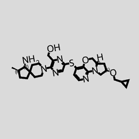 C[C@@H]1CCC2(CCN(c3ncc(Sc4ccnc5c4OC[C@@H]4C[C@H](OCC6CC6)CN54)nc3CO)CC2)[C@@H]1N